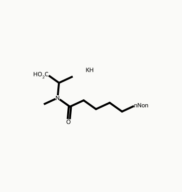 CCCCCCCCCCCCCC(=O)N(C)C(C)C(=O)O.[KH]